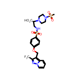 CS(=O)(=O)N1CCN([C@@H](CNS(=O)(=O)c2ccc(OCc3c(C(F)(F)F)nn4ccccc34)cc2)C(=O)O)CC1